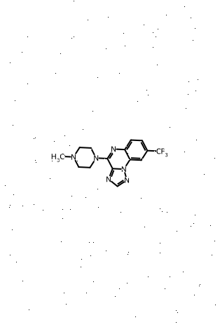 CN1CCN(c2nc3ccc(C(F)(F)F)cc3n3ncnc23)CC1